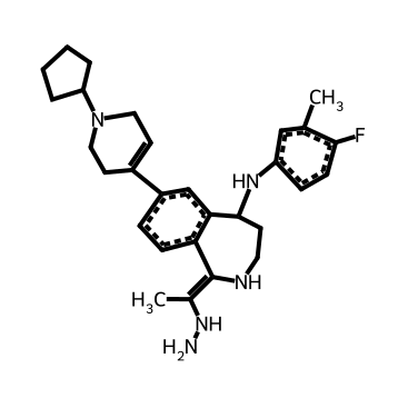 C/C(NN)=C1/NCCC(Nc2ccc(F)c(C)c2)c2cc(C3=CCN(C4CCCC4)CC3)ccc21